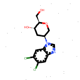 OC[C@H]1OC[C@@H](n2cnc3cc(Cl)c(Cl)cc32)C[C@@H]1O